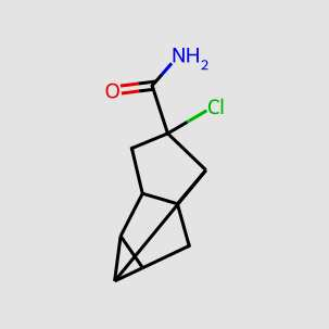 NC(=O)C1(Cl)CC2C3CC4C2C4C31